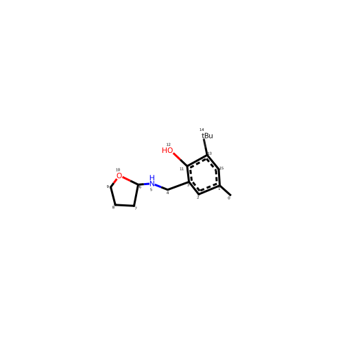 Cc1cc(CNC2CCCO2)c(O)c(C(C)(C)C)c1